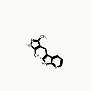 Cc1n[nH]c(C)c1Cc1c[nH]c2ncccc12